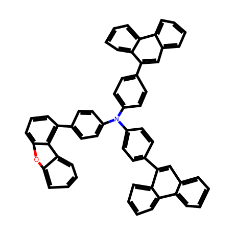 c1ccc2c(c1)cc(-c1ccc(N(c3ccc(-c4cc5ccccc5c5ccccc45)cc3)c3ccc(-c4cccc5oc6ccccc6c45)cc3)cc1)c1ccccc12